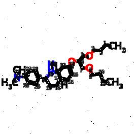 CCCCOCC(COCCCC)OC1=CC[C@H]2CC[C@@H](C3=CC[C@H](N(C)C)C=C3)N[C@H]2C1